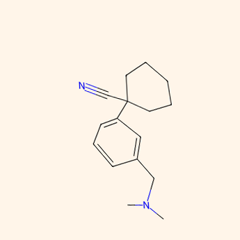 CN(C)Cc1cccc(C2(C#N)CCCCC2)c1